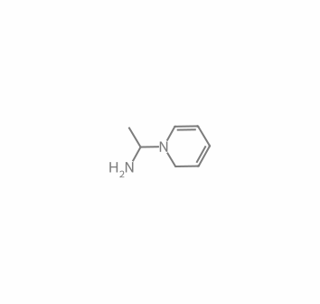 CC(N)N1C=CC=CC1